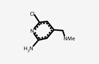 CNCc1cc(N)nc(Cl)c1